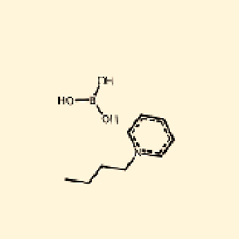 CCCC[n+]1ccccc1.OB(O)O